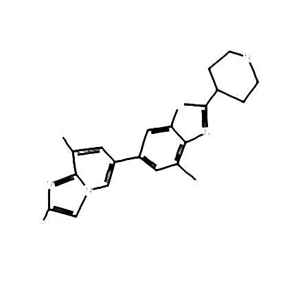 Cc1cn2cc(-c3cc(F)c4nc(C5CCNCC5)oc4c3)cc(F)c2n1